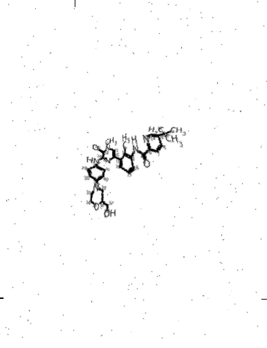 Cc1c(NC(=O)c2ccc(C(C)(C)C)cn2)cccc1-c1cn(C)c(=O)c(Nc2ccc(N3CCOC(CO)C3)cc2)n1